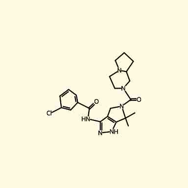 CC1(C)c2[nH]nc(NC(=O)c3cccc(Cl)c3)c2CN1C(=O)N1CCN2CCCC2C1